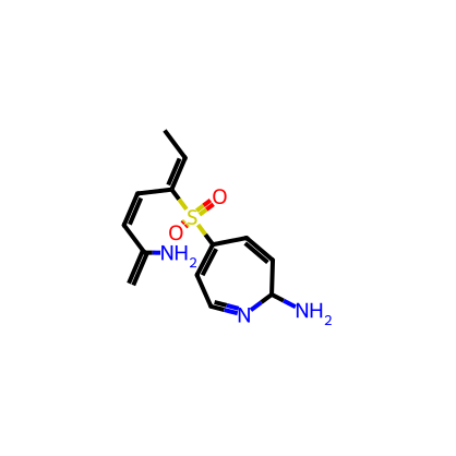 C=C(N)/C=C\C(=C/C)S(=O)(=O)C1=CC=NC(N)C=C1